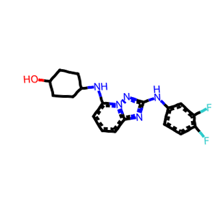 OC1CCC(Nc2cccc3nc(Nc4ccc(F)c(F)c4)nn23)CC1